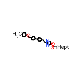 [CH2+][CH-]CCCCCC(=O)Oc1cnc(CCc2ccc(-c3ccc(COc4ccc(C)cc4)cc3)cc2)nc1